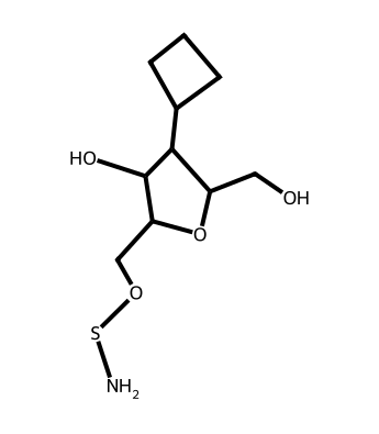 NSOCC1OC(CO)C(C2CCC2)C1O